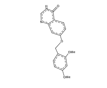 COc1ccc(COc2ccc3c(=O)[nH]cnc3c2)c(OC)c1